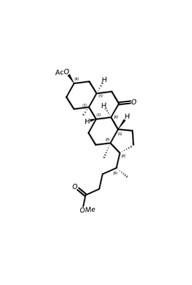 COC(=O)CC[C@@H](C)[C@H]1CC[C@H]2[C@@H]3C(=O)C[C@@H]4C[C@H](OC(C)=O)CC[C@]4(C)[C@H]3CC[C@]12C